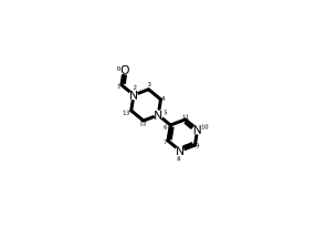 O=CN1CCN(c2cncnc2)CC1